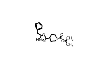 C=C(C)OC(=O)N1CCC(c2n[nH]c(Cc3ccccc3)n2)CC1